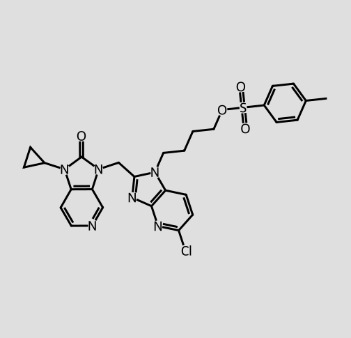 Cc1ccc(S(=O)(=O)OCCCCn2c(Cn3c(=O)n(C4CC4)c4ccncc43)nc3nc(Cl)ccc32)cc1